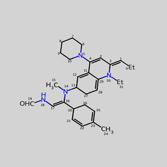 CC/C=C1/C=C(N2CCCCC2)C2=CC(N(C)/C(=C\NC=O)C3C=CC(C)=CC3)CC=C2N1CC